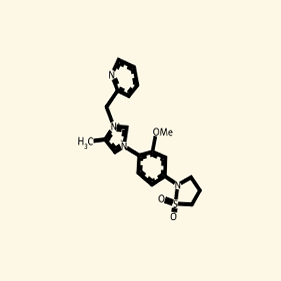 COc1cc(N2CCCS2(=O)=O)ccc1-n1cc(C)[n+](Cc2ccccn2)c1